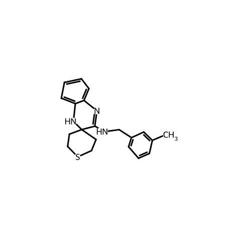 Cc1cccc(CNC2=Nc3ccccc3NC23CCSCC3)c1